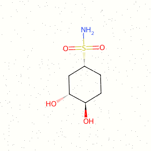 NS(=O)(=O)[C@@H]1CC[C@@H](O)[C@H](O)C1